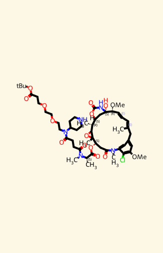 COc1cc2cc(c1Cl)N(C)C(=O)C[C@H](OC(=O)[C@H](C)N(C)C(=O)CCC(=O)N(CCOCCOCCC(=O)OC(C)(C)C)C1CCNCC1)C1(C)OC1[C@H](C)[C@@H]1C[C@@](O)(NC(=O)O1)[C@H](OC)/C=C/C=C(\C)C2